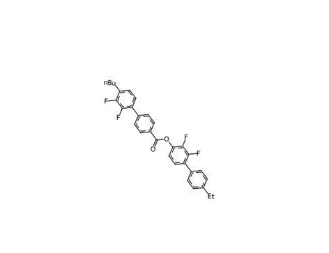 CCCCc1ccc(-c2ccc(C(=O)Oc3ccc(-c4ccc(CC)cc4)c(F)c3F)cc2)c(F)c1F